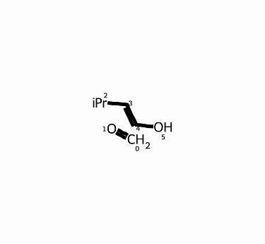 C=O.CC(C)C=CO